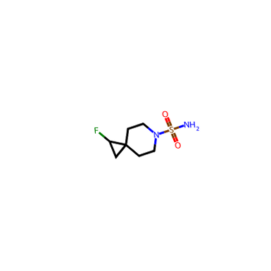 NS(=O)(=O)N1CCC2(CC1)CC2F